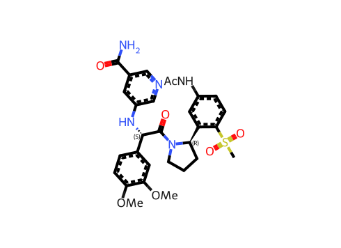 COc1ccc([C@H](Nc2cncc(C(N)=O)c2)C(=O)N2CCC[C@@H]2c2cc(NC(C)=O)ccc2S(C)(=O)=O)cc1OC